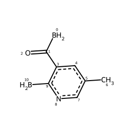 BC(=O)c1cc(C)cnc1B